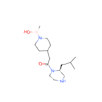 CB(O)N1CCC(CC(=O)N2CCNC[C@@H]2CC(C)C)CC1